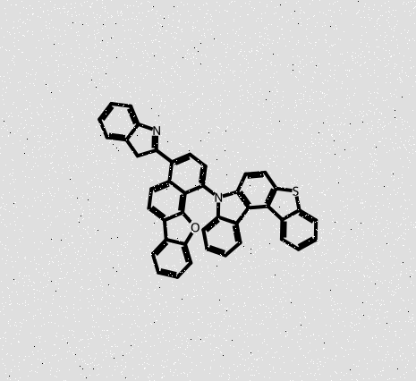 c1ccc2c(c1)CC(c1ccc(-n3c4ccccc4c4c5c(ccc43)sc3ccccc35)c3c1ccc1c4ccccc4oc13)=N2